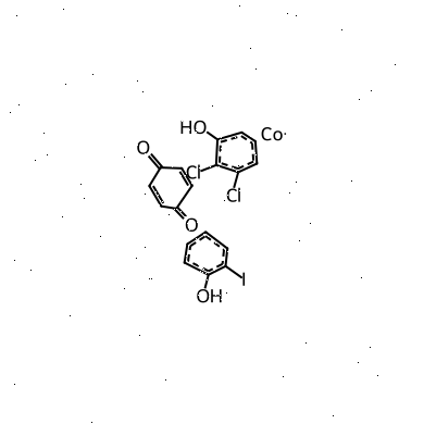 O=C1C=CC(=O)C=C1.Oc1cccc(Cl)c1Cl.Oc1ccccc1I.[Co]